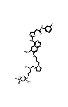 CCN(CCOP(=O)(O)OP(=O)(O)O)C[C@@H]1CCCN1CCCOc1cc2ncnc(Nc3ncc(CC(=O)Nc4cccc(F)c4)s3)c2cc1OC